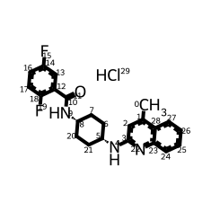 Cc1cc(N[C@H]2CC[C@@H](NC(=O)c3cc(F)ccc3F)CC2)nc2ccccc12.Cl